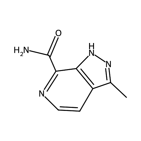 Cc1n[nH]c2c(C(N)=O)nccc12